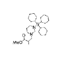 COC(=O)C(C)CN1CCCN([Si](C2CCCCC2)(C2CCCCC2)C2CCCCC2)C1